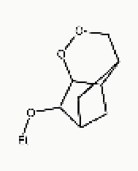 CCOC1C2CC3COOC1C3C2